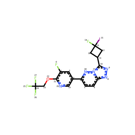 Fc1cc(-c2ccc3nnc(C4CC(F)(I)C4)n3n2)cnc1OCC(F)(F)F